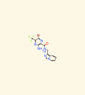 Nc1nc(C(F)(F)F)c(Br)nc1C(=O)NCc1ncn2ccccc12